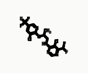 CC(CNc1ncnc(C(F)F)c1Cl)Oc1ncc(C(F)(F)F)cc1Cl